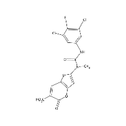 CN(C(=O)Nc1cc(Cl)c(F)c(Cl)c1)c1cc2oc(=O)c(C(=O)O)cc2s1